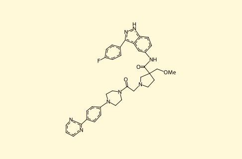 COCC1(C(=O)Nc2ccc3[nH]nc(-c4ccc(F)cc4)c3c2)CCN(CC(=O)N2CCN(c3ccc(-c4ncccn4)cc3)CC2)C1